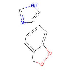 c1c[nH]cn1.c1ccc2c(c1)COO2